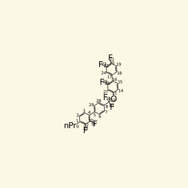 CCCc1ccc(-c2ccc(C(F)(F)Oc3ccc(-c4ccc(F)c(F)c4)c(F)c3)cc2)c(F)c1F